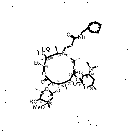 CC[C@H]1OC(=O)[C@H](C)[C@@H](O[C@H]2C[C@@](C)(OC)[C@@H](O)[C@H](C)O2)[C@H](C)[C@@H](O[C@@H]2O[C@H](C)C[C@H](N(C)C)[C@H]2O)[C@](C)(O)C[C@@H](C)CN(CCC(=O)NCc2ccccc2)[C@H](C)[C@@H](O)[C@]1(C)O